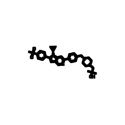 CC(C)(O)CN1CCN(Cc2ccc(-c3cc4c(cn3)cc(-c3ccc(S(C)(=O)=O)cc3)n4C3CC3)cc2)CC1